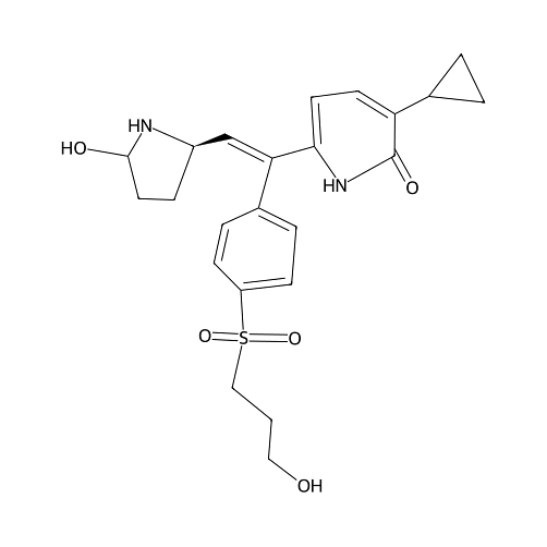 O=c1[nH]c(/C(=C/[C@H]2CCC(O)N2)c2ccc(S(=O)(=O)CCCO)cc2)ccc1C1CC1